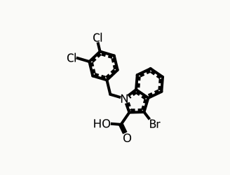 O=C(O)c1c(Br)c2ccccc2n1Cc1ccc(Cl)c(Cl)c1